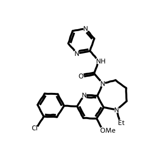 CCN1CCCN(C(=O)Nc2cnccn2)c2nc(-c3cccc(Cl)c3)cc(OC)c21